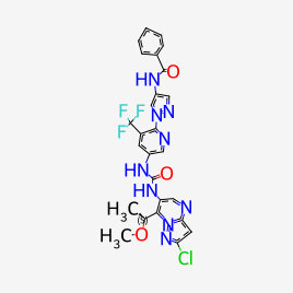 CO[C@@H](C)c1c(NC(=O)Nc2cnc(-n3cc(NC(=O)c4ccccc4)cn3)c(C(F)(F)F)c2)cnc2cc(Cl)nn12